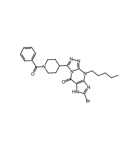 CCCCCn1c2nc(Br)[nH]c2c(=O)n2c(C3CCN(C(=O)c4ccccc4)CC3)nnc12